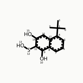 CC(C)(C)c1cccc2c(O)c(SO)c(O)cc12